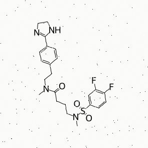 CN(CCc1ccc(C2=NCCN2)cc1)C(=O)CCCN(C)S(=O)(=O)c1ccc(F)c(F)c1